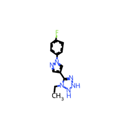 CCN1NNN=C1c1cnn(-c2ccc(F)cc2)c1